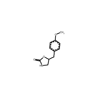 COc1ccc(CC2CNC(=O)O2)cc1